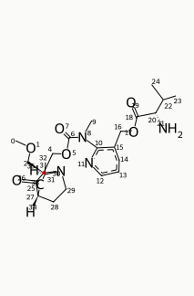 COC[C@]1(COC(=O)N(C)c2ncccc2COC(=O)[C@@H](N)C(C)C)C(=O)[C@H]2CCN1[C@H](C)C2